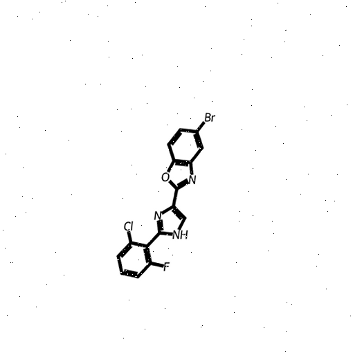 Fc1cccc(Cl)c1-c1nc(-c2nc3cc(Br)ccc3o2)c[nH]1